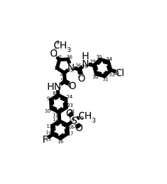 COC1CC(C(=O)Nc2ccc(-c3cc(F)ccc3S(C)(=O)=O)cc2)N(C(=O)Nc2ccc(Cl)cc2)C1